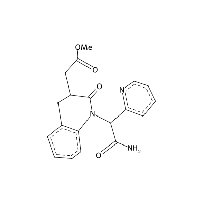 COC(=O)CC1Cc2ccccc2N(C(C(N)=O)c2ccccn2)C1=O